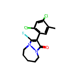 Cc1cc(-c2c(F)n3n(c2=O)CCCCC3)c(Cl)cc1Cl